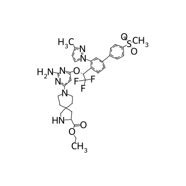 CCOC(=O)C1CC2(CCN(c3cc(O[C@H](c4ccc(-c5ccc(S(C)(=O)=O)cc5)cc4-n4ccc(C)n4)C(F)(F)F)nc(N)n3)CC2)CN1